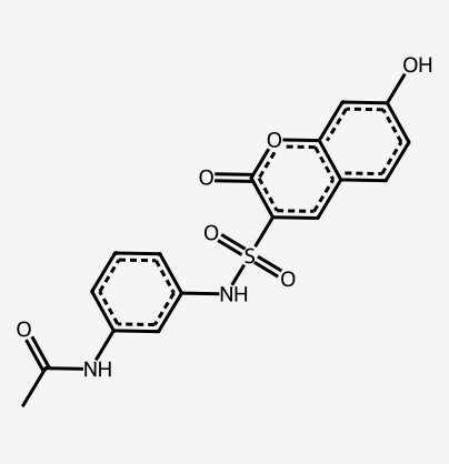 CC(=O)Nc1cccc(NS(=O)(=O)c2cc3ccc(O)cc3oc2=O)c1